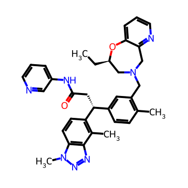 CC[C@@H]1CN(Cc2cc([C@@H](CC(=O)Nc3cccnc3)c3ccc4c(nnn4C)c3C)ccc2C)Cc2ncccc2O1